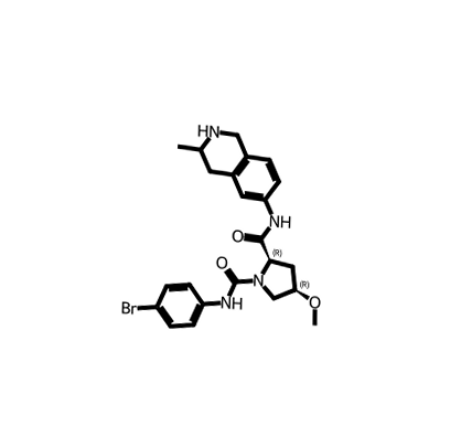 CO[C@@H]1C[C@H](C(=O)Nc2ccc3c(c2)CC(C)NC3)N(C(=O)Nc2ccc(Br)cc2)C1